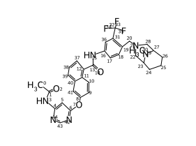 CC(=O)Nc1cc(Oc2ccc3c(C(=O)Nc4ccc(CN5CC6CCCC(C5)N6C)c(C(F)(F)F)c4)cccc3c2)ncn1